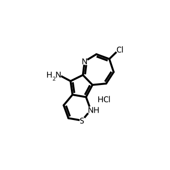 Cl.Nc1c2ncc(Cl)ccc-2c2c1C=CSN2